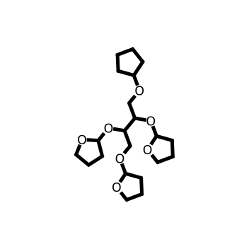 C1CCC(OCC(OC2CCCO2)C(COC2CCCO2)OC2CCCO2)C1